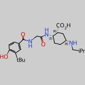 CC(C)CN[C@@H]1CC[C@H](NC(=O)CNC(=O)c2ccc(O)c(C(C)(C)C)c2)[C@H](C(=O)O)C1